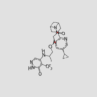 CC(COCCC(=O)N1C2CC1CN(c1ncc(C3CC3)cn1)C2)Nc1cn[nH]c(=O)c1C(F)(F)F